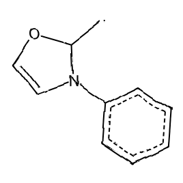 [CH2]C1OC=CN1c1ccccc1